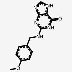 COc1ccc(CNc2nc3nc[nH]c3c(=O)[nH]2)cc1